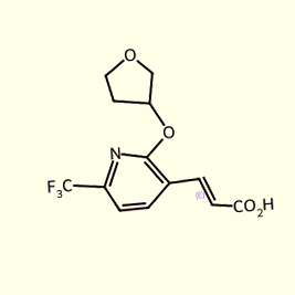 O=C(O)/C=C/c1ccc(C(F)(F)F)nc1OC1CCOC1